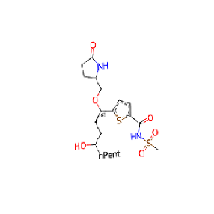 CCCCCC(O)CC[C@@H](OCC1CCC(=O)N1)c1ccc(C(=O)NS(C)(=O)=O)s1